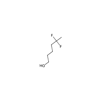 CC(F)(F)CCCCO